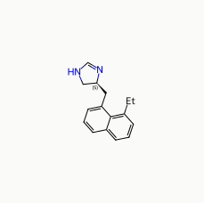 CCc1cccc2cccc(C[C@H]3CNC=N3)c12